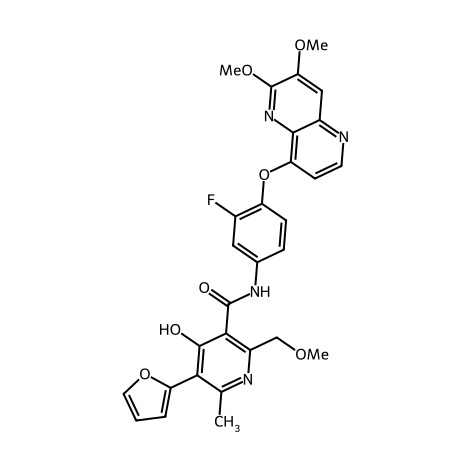 COCc1nc(C)c(-c2ccco2)c(O)c1C(=O)Nc1ccc(Oc2ccnc3cc(OC)c(OC)nc23)c(F)c1